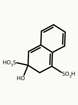 O=S(=O)(O)C1=c2ccccc2=CC(O)(S(=O)(=O)O)C1